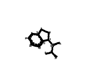 CC(C)N(C)C1CCc2ccccc21